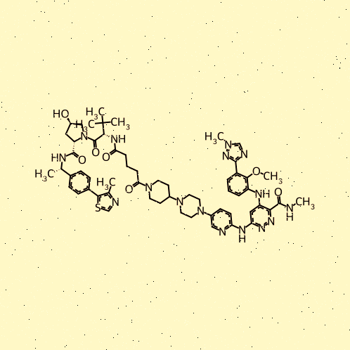 CNC(=O)c1nnc(Nc2ccc(N3CCN(C4CCN(C(=O)CCCC(=O)N[C@H](C(=O)N5C[C@H](O)C[C@H]5C(=O)N[C@@H](C)c5ccc(-c6scnc6C)cc5)C(C)(C)C)CC4)CC3)cn2)cc1Nc1cccc(-c2ncn(C)n2)c1OC